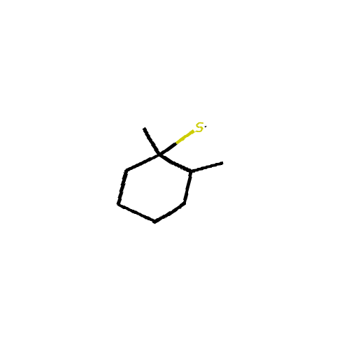 CC1CCCCC1(C)[S]